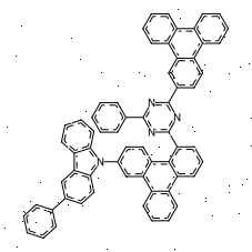 c1ccc(-c2ccc3c(c2)c2ccccc2n3-c2ccc3c(c2)c2ccccc2c2cccc(-c4nc(-c5ccccc5)nc(-c5ccc6c7ccccc7c7ccccc7c6c5)n4)c23)cc1